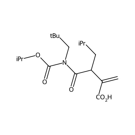 C=C(C(=O)O)C(CC(C)C)C(=O)N(CC(C)(C)C)C(=O)OC(C)C